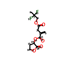 C=C(CC(=O)OCC(C)(F)F)C(=O)OC1CCOC1=O